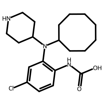 O=C(O)Nc1ccc(Cl)cc1N(C1CCCCCCC1)C1CCNCC1